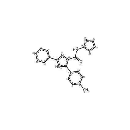 Cc1ccc(-c2[nH]c(-c3ccncc3)nc2C(=O)Nc2nccs2)cc1